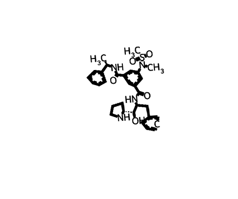 C[C@@H](NC(=O)c1cc(C(=O)NC(Cc2ccccc2)C(O)[C@H]2CCCN2)cc(N(C)S(C)(=O)=O)c1)c1ccccc1